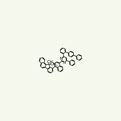 CC1(C)c2c(cccc2-c2ccc(-c3nc(-c4ccccc4)cc(-c4ccccc4-c4ccc(-c5ccccc5)cc4)n3)c3ccccc23)-c2ccc3ccccc3c21